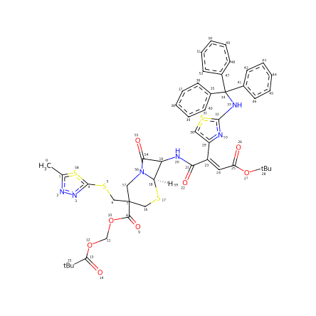 Cc1nnc(SCC2(C(=O)OCOC(=O)C(C)(C)C)CS[C@@H]3C(NC(=O)C(=CC(=O)OC(C)(C)C)c4csc(NC(c5ccccc5)(c5ccccc5)c5ccccc5)n4)C(=O)N3C2)s1